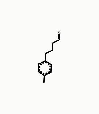 Cc1ccc(CCCC=O)cc1